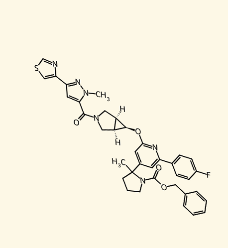 Cn1nc(-c2cscn2)cc1C(=O)N1C[C@@H]2[C@H](C1)[C@@H]2Oc1cc(C2(C)CCCN2C(=O)OCc2ccccc2)cc(-c2ccc(F)cc2)n1